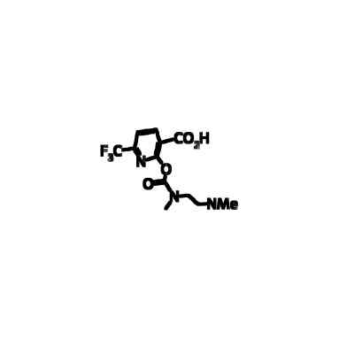 CNCCN(C)C(=O)Oc1nc(C(F)(F)F)ccc1C(=O)O